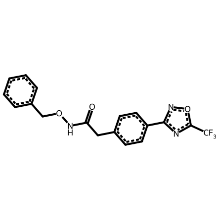 O=C(Cc1ccc(-c2noc(C(F)(F)F)n2)cc1)NOCc1ccccc1